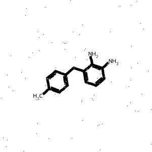 Cc1ccc(Cc2cccc(N)c2N)cc1